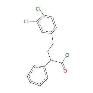 O=C(Cl)C(CCc1ccc(Cl)c(Cl)c1)c1ccccc1